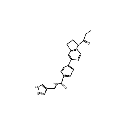 CCC(=O)N1CCc2cc(-c3ccc(C(=O)NCc4cn[nH]c4)cc3)ccc21